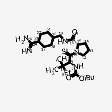 CCC(C)(C)[C@H](NC(=O)OCC(C)C)C(=S)N1CCC[C@H]1C(=O)NCC1CCC(C(=N)N)CC1